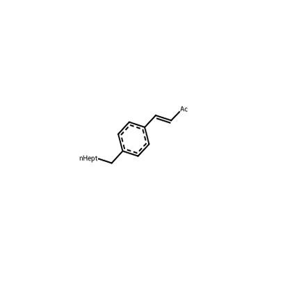 CCCCCCCCc1ccc(/C=C/C(C)=O)cc1